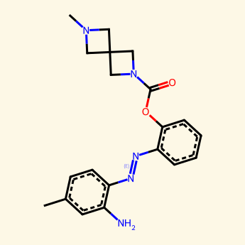 Cc1ccc(/N=N/c2ccccc2OC(=O)N2CC3(CN(C)C3)C2)c(N)c1